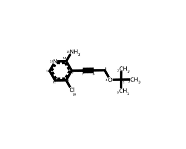 CC(C)(C)OCC#Cc1c(Cl)ccnc1N